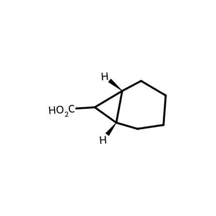 O=C(O)C1[C@H]2CCCC[C@@H]12